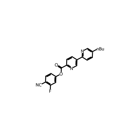 CCCCc1ccc(-c2ccc(C(=O)Oc3ccc(C#N)c(F)c3)nc2)nc1